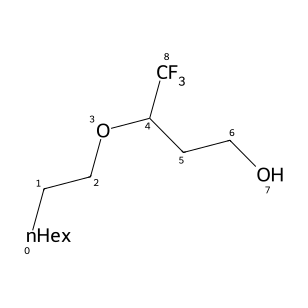 CCCCCCCCOC(CCO)C(F)(F)F